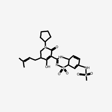 CC(C)=CCC1CN(C2CCCC2)C(=O)C(C2=NS(=O)(=O)C3C=C(NS(C)(=O)=O)C=CC3N2)=C1O